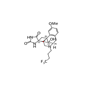 COc1ccc2c(c1)[C@]13CCN(CCCC(F)(F)F)[C@H](C2)[C@]1(O)CC[C@@]1(C3)NC(=O)NC1=O